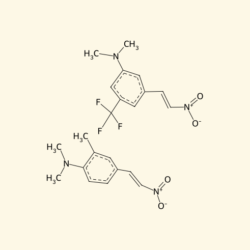 CN(C)c1cc(C=C[N+](=O)[O-])cc(C(F)(F)F)c1.Cc1cc(C=C[N+](=O)[O-])ccc1N(C)C